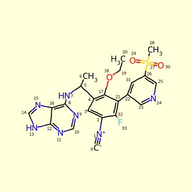 [C-]#[N+]c1cc(C(C)Nc2ncnc3[nH]cnc23)c(OCC)c(-c2cncc(S(C)(=O)=O)c2)c1F